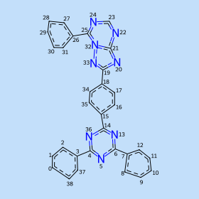 c1ccc(-c2nc(-c3ccccc3)nc(-c3ccc(-c4nc5ncnc(-c6ccccc6)n5n4)cc3)n2)cc1